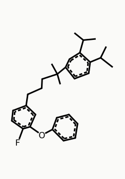 CC(C)c1ccc(C(C)(C)CCCc2ccc(F)c(Oc3ccccc3)c2)cc1C(C)C